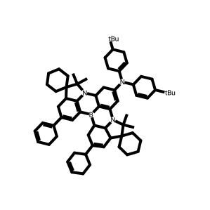 CC(C)(C)C1C=CC(N(C2=CCC(C(C)(C)C)CC2)C2=CC3=C4B(C5=C6C(CC(C7=CC=CCC7)=C5)C5(CCCCC5)C(C)(C)N6C4C2)C2CC(C4CC=CCC4)=CC4C2N3C(C)(C)C42CCCCC2)CC1